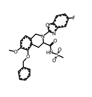 COc1ccc2c(c1OCc1ccccc1)CC(C(=O)NS(C)(=O)=O)N(c1nc3cc(F)ccc3o1)C2